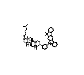 CC(C)CCC[C@H](C)[C@@H]1CC[C@@H]2[C@H]3CC[C@@H]4CC(c5cccc(-n6c7ccccc7c7cc8c(cc76)C(C)(C)c6ccccc6-8)c5)CC[C@@]4(C)[C@@H]3CC[C@]21C